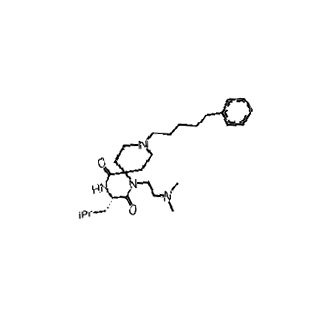 CC(C)C[C@@H]1NC(=O)C2(CCN(CCCCCc3ccccc3)CC2)N(CCN(C)C)C1=O